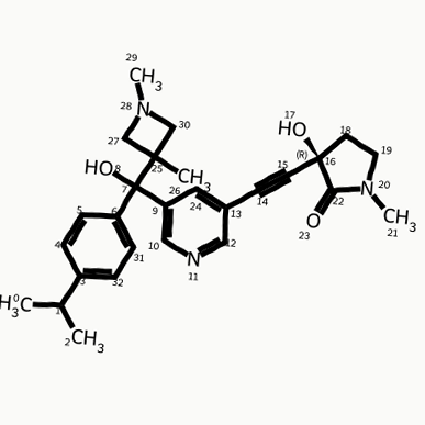 CC(C)c1ccc(C(O)(c2cncc(C#C[C@]3(O)CCN(C)C3=O)c2)C2(C)CN(C)C2)cc1